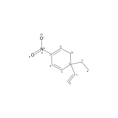 C=CC1(CC)C=CC([N+](=O)[O-])=CC1